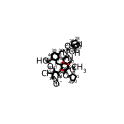 COc1ccc([C@H](Cc2c(Cl)c[n+]([O-])cc2Cl)c2cc(CN(C(=O)O[C@H]3CN4CCC3CC4)c3ccccn3)ccc2C(=O)O)cc1OC1CCCC1